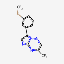 FC(F)(F)Sc1cccc(-c2cnc3nc(C(F)(F)F)cnn23)c1